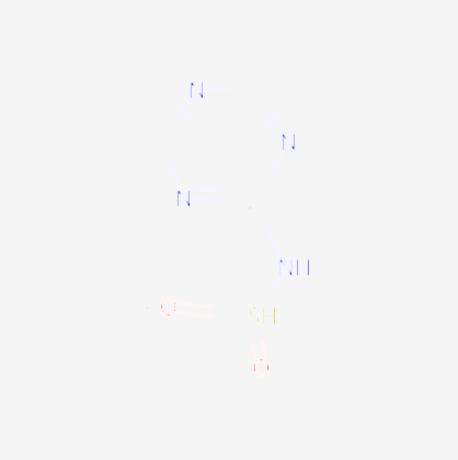 O=[SH](=O)Nc1ncncn1